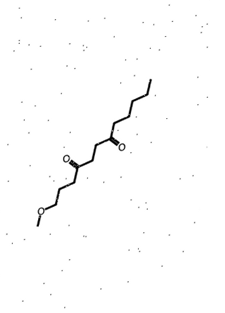 CCCCCC(=O)CCC(=O)CCCOC